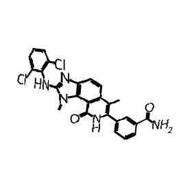 Cc1c(-c2cccc(C(N)=O)c2)[nH]c(=O)c2c1ccc1nc(Nc3c(Cl)cccc3Cl)n(C)c12